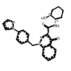 O=C(N[C@H]1CCCC[C@@H]1O)c1nn(Cc2ccc(-n3cccn3)cc2)c2ccccc2c1=O